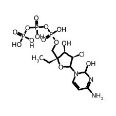 CC[C@]1(COP(=O)(O)OP(=O)(O)OP(=O)(O)O)OC(N2C=CC(N)=NC2O)[C@H](Cl)[C@@H]1O